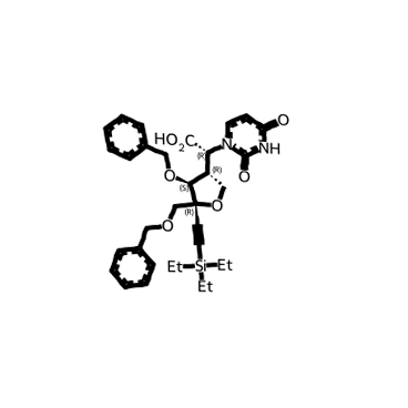 CC[Si](C#C[C@]1(COCc2ccccc2)OC[C@@H]([C@H](C(=O)O)n2ccc(=O)[nH]c2=O)[C@@H]1OCc1ccccc1)(CC)CC